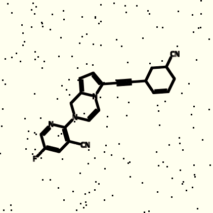 N#Cc1cc(F)cnc1N1C=Cn2c(C#CC3C=CCC(C#N)C3)ccc2C1